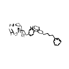 CCC(N)(CO)CCc1ccc(OCCCCc2ccccc2)cc1.Cl